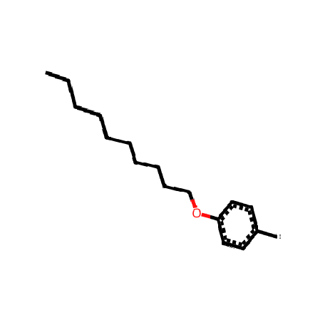 [CH]c1ccc(OCCCCCCCCCC)cc1